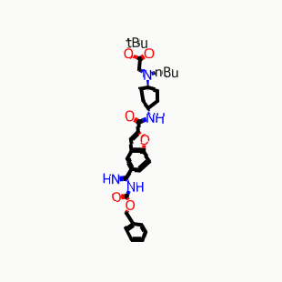 CCCCN(CC(=O)OC(C)(C)C)[C@H]1CC[C@H](NC(=O)c2cc3cc(C(=N)NC(=O)OCc4ccccc4)ccc3o2)CC1